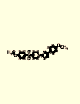 COc1ccc(-c2csc(N3CCC(S(=O)(=O)c4ccc(OC)cc4)CC3)n2)cc1